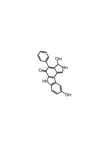 O=C1C(c2ccccc2)=C2C(=CNC2O)c2c1[nH]c1ccc(O)cc21